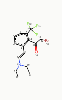 CCN(C=Cc1cccc(C(F)(F)F)c1C(=O)CBr)CC